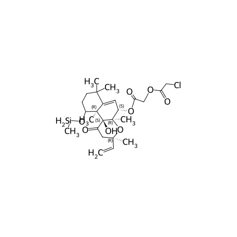 C=C[C@@]1(C)CC(=O)[C@]2(O)[C@]3(C)C(=C[C@H](OC(=O)COC(=O)CCl)[C@@]2(C)O1)C(C)(C)CCC3O[SiH2]C